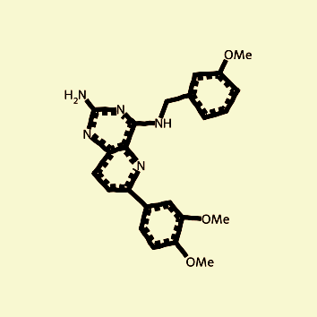 COc1cccc(CNc2nc(N)nc3ccc(-c4ccc(OC)c(OC)c4)nc23)c1